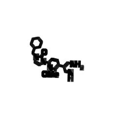 COc1nc(-n2ccn(CC3CCCCC3)c2=O)ccc1/C(C=N)=C/N